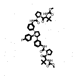 COC(=O)N[C@H](C(=O)N1CCC[C@H]1C(=O)Nc1cccc([C@@H]2CC[C@@H](c3cccc(NC(=O)[C@@H]4CCCN4C(=O)[C@@H](NC(=O)OC)C(C)(C)C)c3)N2c2ccc(F)cc2)c1)C(C)(C)C